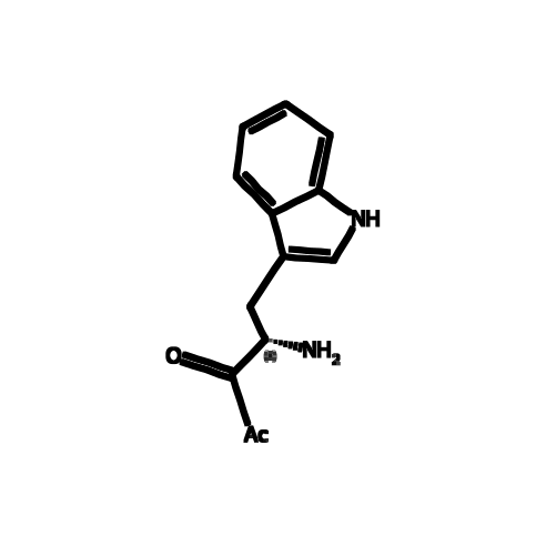 [CH2]C(=O)C(=O)[C@@H](N)Cc1c[nH]c2ccccc12